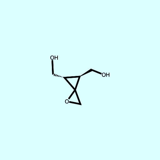 OC[C@@H]1[C@@H](CO)C12CO2